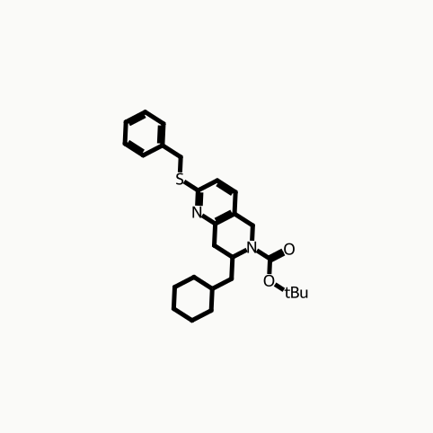 CC(C)(C)OC(=O)N1Cc2ccc(SCc3ccccc3)nc2CC1CC1CCCCC1